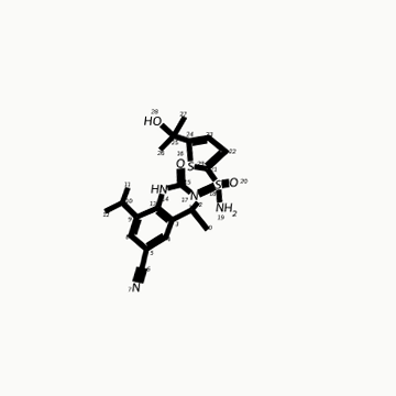 CC(C)c1cc(C#N)cc(C(C)C)c1NC(=O)N=S(N)(=O)c1ccc(C(C)(C)O)s1